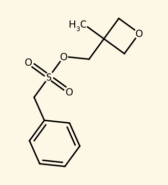 CC1(COS(=O)(=O)Cc2ccccc2)COC1